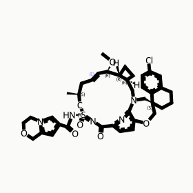 CO[C@H]1/C=C/C[C@H](C)C[S@@](=O)(NC(=O)c2cc3n(c2)CCOC3)=NC(=O)c2ccc3c(n2)N(C[C@@H]2CC[C@H]21)C[C@@]1(CCCc2cc(Cl)ccc21)CO3